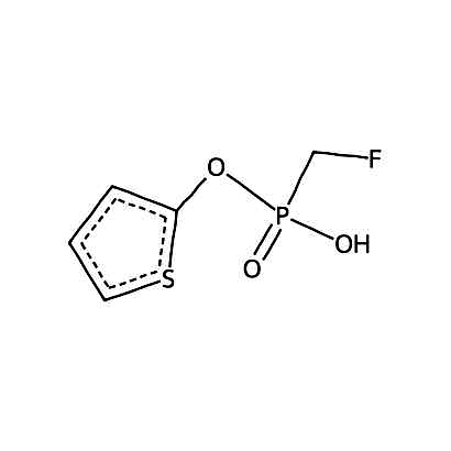 O=P(O)(CF)Oc1cccs1